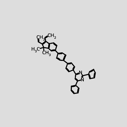 C=CC1=C(C=C)C(C)(C)c2cc(-c3ccc(-c4ccc(-c5cc(-c6ccccc6)nc(-c6ccccc6)n5)cc4)cc3)ccc21